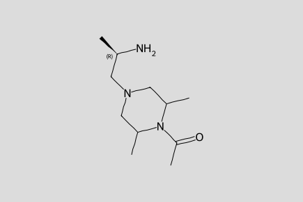 CC(=O)N1C(C)CN(C[C@@H](C)N)CC1C